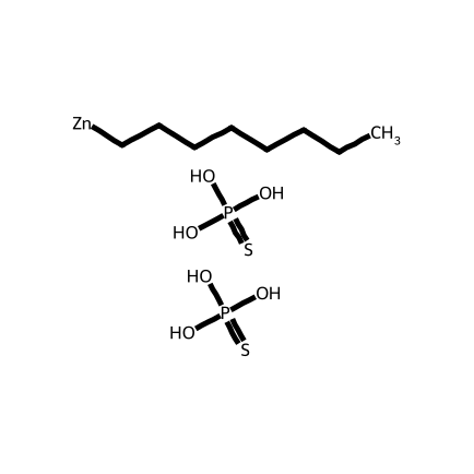 CCCCCCC[CH2][Zn].OP(O)(O)=S.OP(O)(O)=S